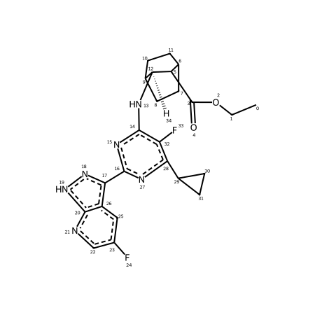 CCOC(=O)C1C2CCC(CC2)[C@@H]1Nc1nc(-c2n[nH]c3ncc(F)cc23)nc(C2CC2)c1F